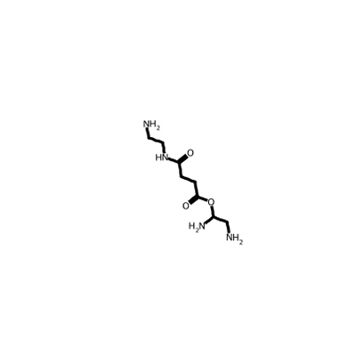 NCCNC(=O)CCC(=O)OC(N)CN